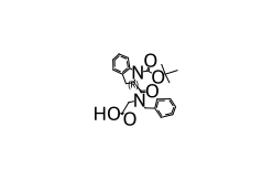 CC(C)(C)OC(=O)N1c2ccccc2C[C@@H]1C(=O)N(CC(=O)O)Cc1ccccc1